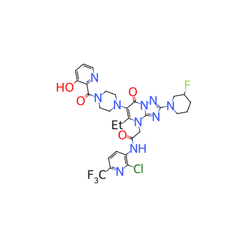 CCc1c(N2CCN(C(=O)c3ncccc3O)CC2)c(=O)n2nc(N3CCCC(F)C3)nc2n1CC(=O)Nc1ccc(C(F)(F)F)nc1Cl